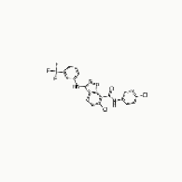 O=C(Nc1ccc(Cl)nc1)c1c(Cl)ccc2c(Nc3cccc(C(F)(F)F)c3)noc12